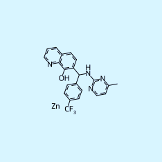 Cc1ccnc(NC(c2ccc(C(F)(F)F)cc2)c2ccc3cccnc3c2O)n1.[Zn]